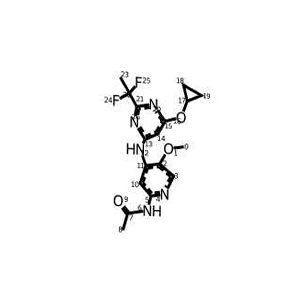 COc1cnc(NC(C)=O)cc1Nc1cc(OC2CC2)nc(C(C)(F)F)n1